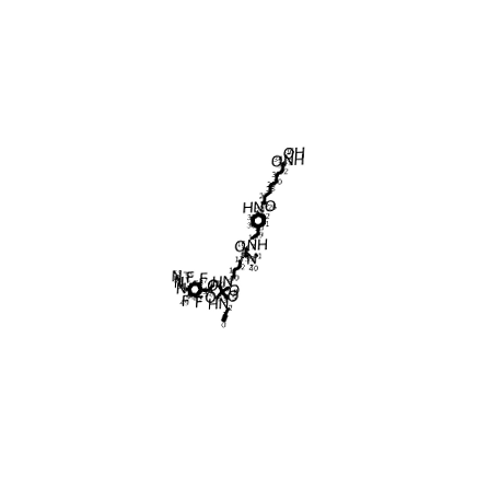 C#CCNC(=O)C1(C(=O)NCCCC[C@H](C(=O)NCCc2ccc(NC(=O)CCCCCCC(=O)NO)cc2)N(C)C)COC(c2c(F)c(F)c(N=[N+]=[N-])c(F)c2F)OC1